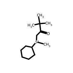 C[S+](CC(=O)C(C)(C)C)C1CCCCC1